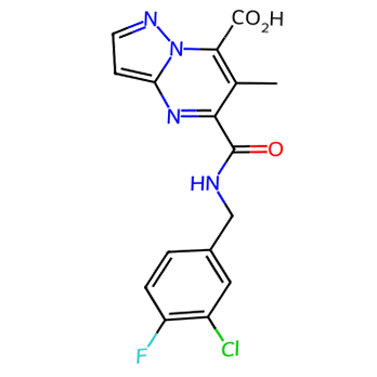 Cc1c(C(=O)NCc2ccc(F)c(Cl)c2)nc2ccnn2c1C(=O)O